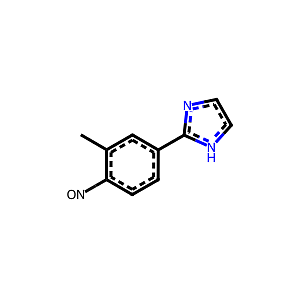 Cc1cc(-c2ncc[nH]2)ccc1N=O